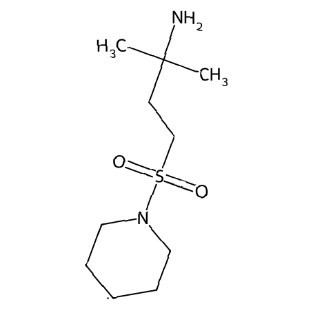 CC(C)(N)CCS(=O)(=O)N1CC[CH]CC1